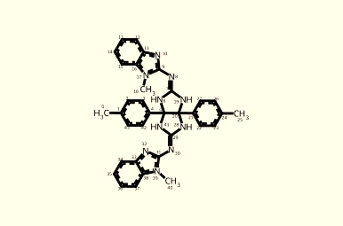 Cc1ccc(C23NC(=Nc4nc5ccccc5n4C)NC2(c2ccc(C)cc2)NC(=Nc2nc4ccccc4n2C)N3)cc1